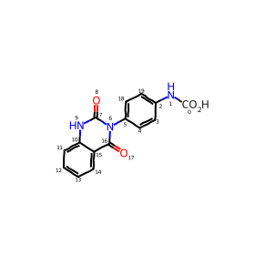 O=C(O)Nc1ccc(-n2c(=O)[nH]c3ccccc3c2=O)cc1